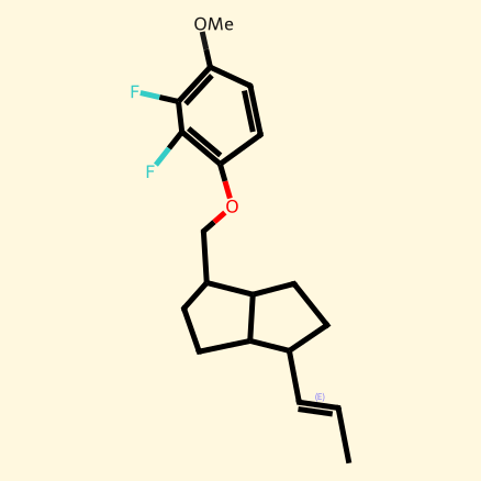 C/C=C/C1CCC2C(COc3ccc(OC)c(F)c3F)CCC12